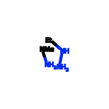 CCNN.CNN